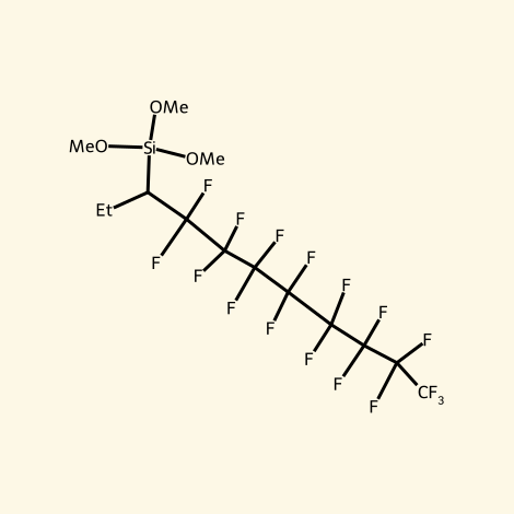 CCC(C(F)(F)C(F)(F)C(F)(F)C(F)(F)C(F)(F)C(F)(F)C(F)(F)C(F)(F)F)[Si](OC)(OC)OC